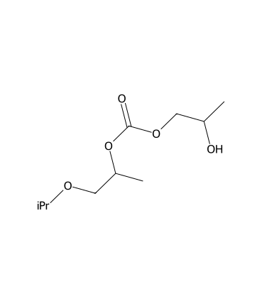 CC(O)COC(=O)OC(C)COC(C)C